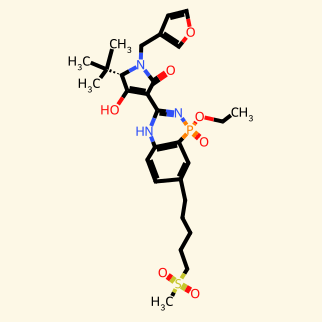 CCOP1(=O)N=C(C2=C(O)[C@H](C(C)(C)C)N(Cc3ccoc3)C2=O)Nc2ccc(CCCCCS(C)(=O)=O)cc21